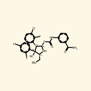 CC(C)(C)C[C@@H]1N[C@H](OC(=O)Nc2cccc(C(N)=O)c2)[C@H](c2cccc(Cl)c2F)[C@@]1(C#N)c1ccc(Cl)cc1F